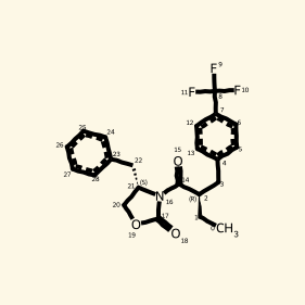 CC[C@H](Cc1ccc(C(F)(F)F)cc1)C(=O)N1C(=O)OC[C@@H]1Cc1ccccc1